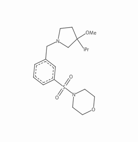 COC1(C(C)C)CCN(Cc2cccc(S(=O)(=O)N3CCOCC3)c2)C1